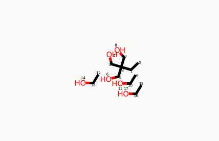 CCC(CO)(CO)CO.CCO.CCO.CCO